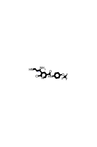 N=C/C=C(\N)c1cc(C(=O)Nc2ccc(OC(F)(F)F)cc2)cnc1Cl